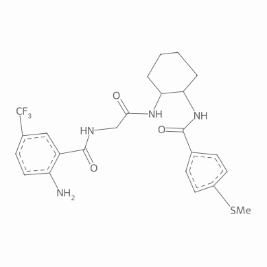 CSc1ccc(C(=O)NC2CCCCC2NC(=O)CNC(=O)c2cc(C(F)(F)F)ccc2N)cc1